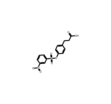 O=C(O)CCc1ccc(OS(=O)(=O)c2cccc([N+](=O)[O-])c2)cc1